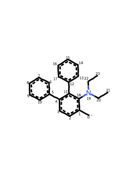 [CH2]c1ccc(-c2ccccc2)c(-c2ccccc2)c1N(CC)CC